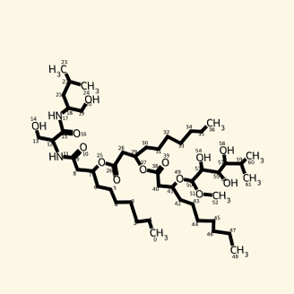 CCCCCCCC(CC(=O)NC(CO)C(=O)NC(CO)CC(C)C)OC(=O)CC(CCCCCCC)OC(=O)CC(CCCCCCC)OC(OC)C(O)C(O)C(O)C(C)C